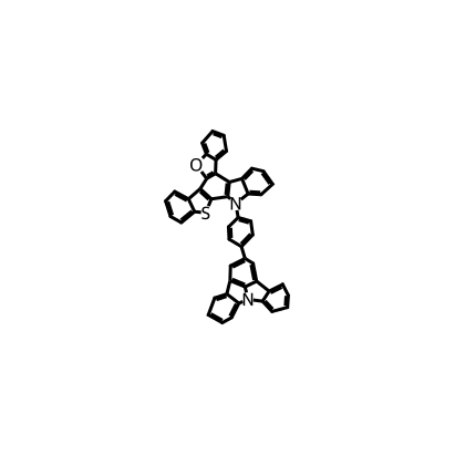 c1ccc2c(c1)oc1c3c4ccccc4sc3c3c(c4ccccc4n3-c3ccc(-c4cc5c6ccccc6n6c7ccccc7c(c4)c56)cc3)c21